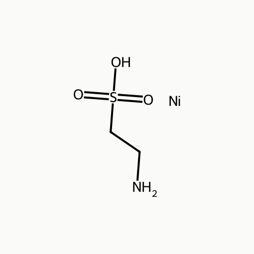 NCCS(=O)(=O)O.[Ni]